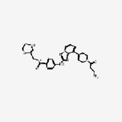 O=C(NCC1CNCCO1)c1ccc(Nc2nc3c(C4=CCN(C(=O)CCC(F)(F)F)CC4)cccn3n2)cc1